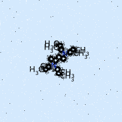 CC1(C)C=Cc2cc(N(c3ccc4c(c3)C=CC4(C)C)c3cc4c5cccc(N(c6ccc7c(c6)C=CC7(C)C)c6ccc7c(c6)C=CC7(C)C)c5ccc4c4ccccc34)ccc21